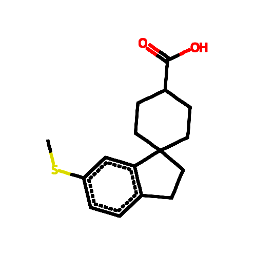 CSc1ccc2c(c1)C1(CC2)CCC(C(=O)O)CC1